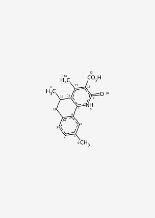 Cc1ccc2c(c1)-c1[nH]c(=O)c(C(=O)O)c(C)c1C(C)C2